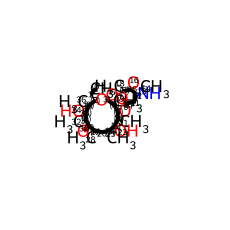 CC[C@H]1OC(=O)[C@H](C)[C@@H](O[C@H]2CC(NC)C(=O)[C@@H](C)O2)[C@H](C)[C@@H](O)[C@@H](C)C[C@@H](C)C(=O)[C@H](C)[C@@H](O)[C@H]1C